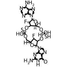 Nc1nc2c(ncn2[C@@H]2O[C@@H]3CO[P@@](O)(=S)OC4[C@@H](CO[PH](O)(S)OC2C3F)O[C@@H](n2cnc3c(N)ncnc32)[C@H]4F)c(=O)[nH]1